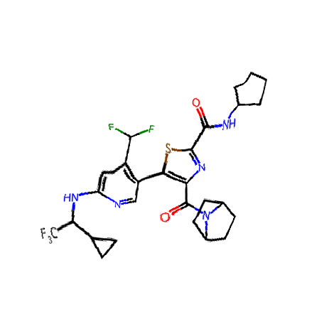 O=C(NC1CCCC1)c1nc(C(=O)N2C3CCC2CC3)c(-c2cnc(NC(C3CC3)C(F)(F)F)cc2C(F)F)s1